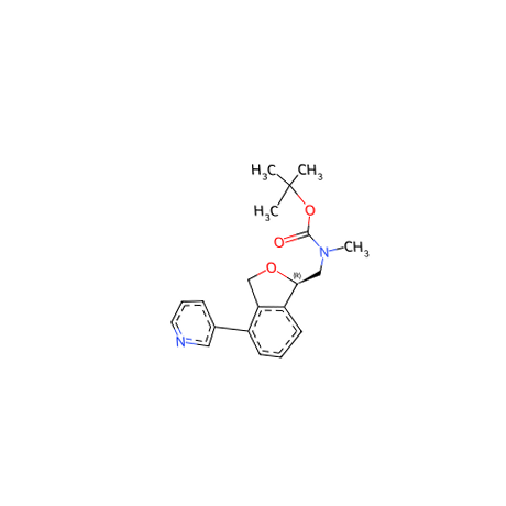 CN(C[C@@H]1OCc2c(-c3cccnc3)cccc21)C(=O)OC(C)(C)C